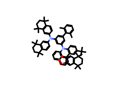 Cc1cccc(C)c1-c1cc(N(c2ccc3c(c2)C(C)(C)CCC3(C)C)c2ccc3c(c2)C(C)(C)CCC3(C)C)cc(N(c2ccc(C(C)(C)C)cc2-c2ccccc2)c2cccc3oc4cc5c(cc4c23)C(C)(C)CCC5(C)C)c1